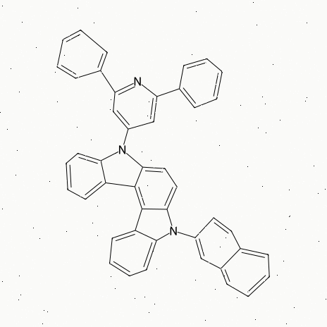 c1ccc(-c2cc(-n3c4ccccc4c4c5c6ccccc6n(-c6ccc7ccccc7c6)c5ccc43)cc(-c3ccccc3)n2)cc1